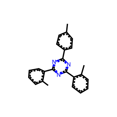 Cc1ccc(-c2nc(-c3ccccc3C)nc(-c3ccccc3C)n2)cc1